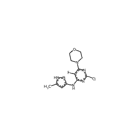 Cc1cc(Nc2nc(Cl)nc(N3CCOCC3)c2F)n[nH]1